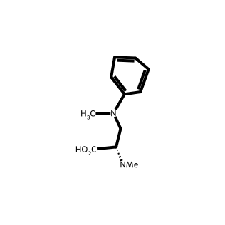 CN[C@@H](CN(C)c1ccccc1)C(=O)O